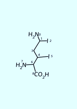 NC(I)CC(I)C(N)C(=O)O